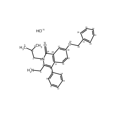 CC(C)Cn1c(CN)c(-c2ccccc2)c2ccc(OCc3ccccc3)cc2c1=O.Cl